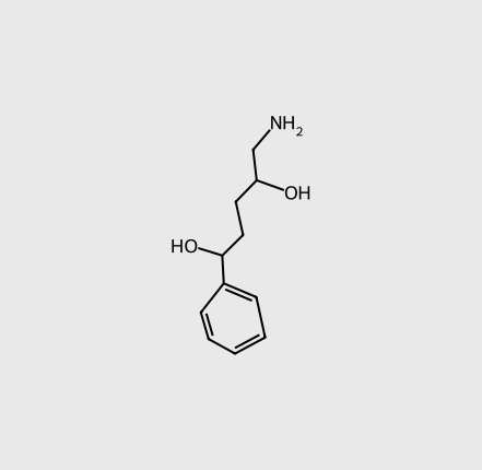 NCC(O)CCC(O)c1ccccc1